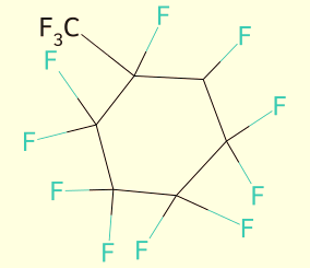 FC1C(F)(F)C(F)(F)C(F)(F)C(F)(F)C1(F)C(F)(F)F